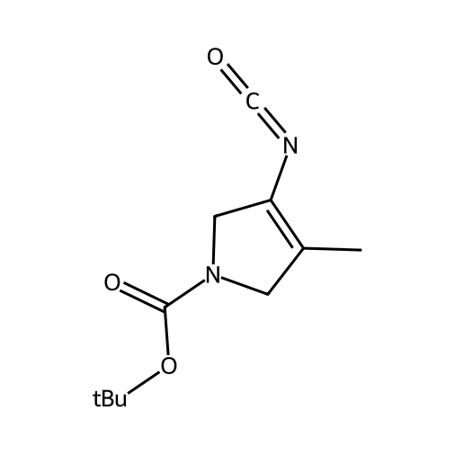 CC1=C(N=C=O)CN(C(=O)OC(C)(C)C)C1